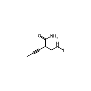 CC#CC(CNI)C(N)=O